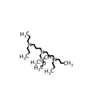 CCCN(CCC)CCCN(CCCN(CCC)CCC)C[Si](C)(C)OC